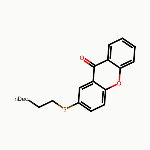 CCCCCCCCCCCCSc1ccc2oc3ccccc3c(=O)c2c1